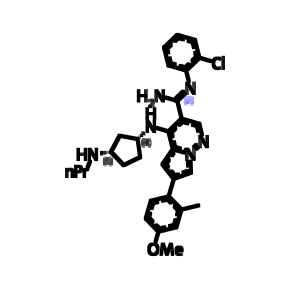 CCCN[C@H]1CC[C@@H](Nc2c(/C(N)=N/c3ccccc3Cl)cnn3cc(-c4ccc(OC)cc4C)cc23)C1